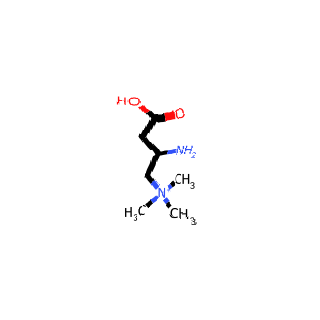 C[N+](C)(C)CC(N)CC(=O)O